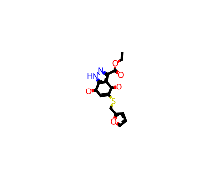 CCOC(=O)c1n[nH]c2c1C(=O)C(SCc1ccco1)=CC2=O